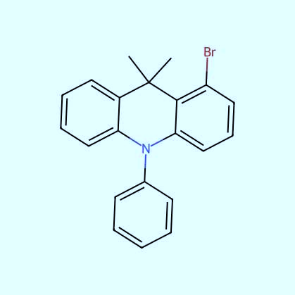 CC1(C)c2ccccc2N(c2ccccc2)c2cccc(Br)c21